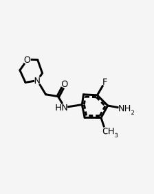 Cc1cc(NC(=O)CN2CCOCC2)cc(F)c1N